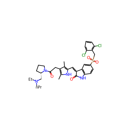 CCCN(CC)C[C@@H]1CCCN1C(=O)Cc1c(C)[nH]c(/C=C2\C(=O)Nc3ccc(S(=O)(=O)Cc4c(Cl)cccc4Cl)cc32)c1C